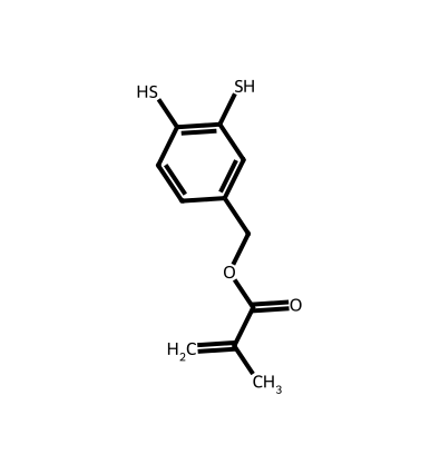 C=C(C)C(=O)OCc1ccc(S)c(S)c1